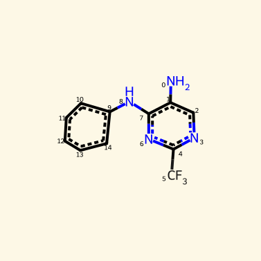 Nc1cnc(C(F)(F)F)nc1Nc1ccccc1